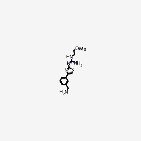 COCCN/C(N)=N/c1nc(-c2cccc(CN)c2)cs1